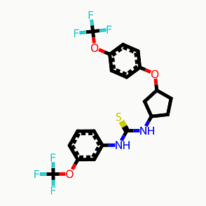 FC(F)(F)Oc1ccc(OC2CCC(NC(=S)Nc3cccc(OC(F)(F)F)c3)C2)cc1